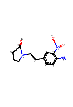 Nc1ccc(CCN2CCCC2=O)cc1[N+](=O)[O-]